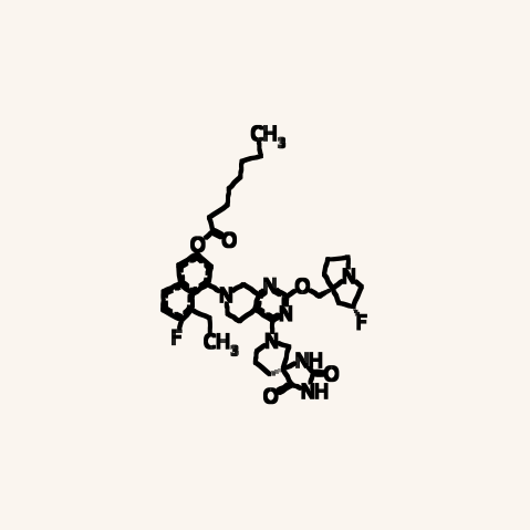 CCCCCCCC(=O)Oc1cc(N2CCc3c(nc(OC[C@@]45CCCN4C[C@H](F)C5)nc3N3CCC[C@]4(C3)NC(=O)NC4=O)C2)c2c(CC)c(F)ccc2c1